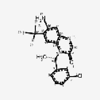 C[C@@H](c1cccc(Cl)c1)n1c(=O)cnc2cc(N)c(C(F)(F)F)cc21